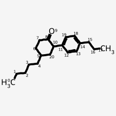 CCCCCC1CCC(=O)C(c2ccc(CCC)cc2)C1